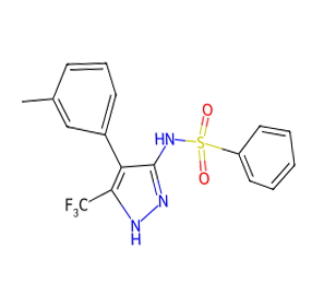 Cc1cccc(-c2c(NS(=O)(=O)c3ccccc3)n[nH]c2C(F)(F)F)c1